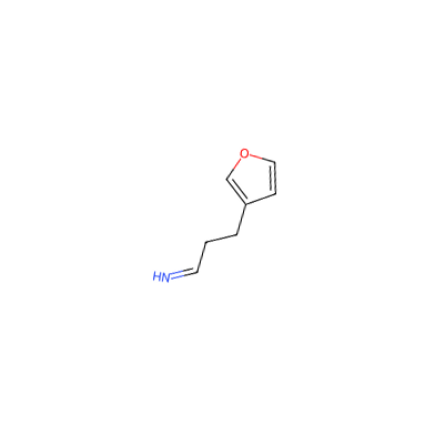 N=CCCc1ccoc1